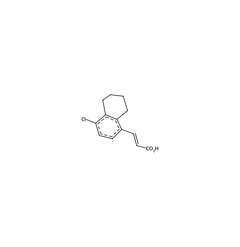 O=C(O)C=Cc1ccc(Cl)c2c1CCCC2